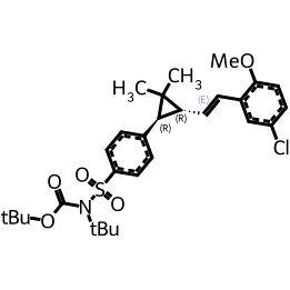 COc1ccc(Cl)cc1/C=C/[C@@H]1[C@@H](c2ccc(S(=O)(=O)N(C(=O)OC(C)(C)C)C(C)(C)C)cc2)C1(C)C